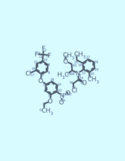 CCOc1cc(Oc2ccc(C(F)(F)F)cc2Cl)ccc1[N+](=O)[O-].CCc1cccc(C)c1N(C(=O)CCl)C(C)COC